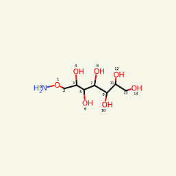 NOCC(O)C(O)C(O)C(O)C(O)CO